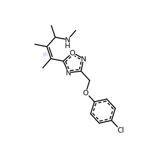 CNC(C)/C(C)=C(/C)c1nc(COc2ccc(Cl)cc2)no1